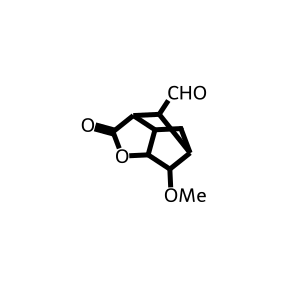 COC1C2CC3C1OC(=O)C3C2C=O